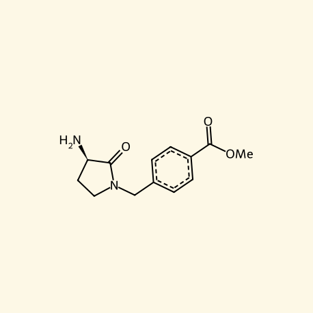 COC(=O)c1ccc(CN2CC[C@@H](N)C2=O)cc1